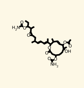 CCC(OC(N)=O)C(C)C1OC1CC(C)/C=C/C=C(\C)C1OC(=O)CC(OC(N)=O)CCC(C)(O)C(OC(C)=O)/C=C/C1C